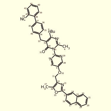 CCCCc1nc(C)n(-c2ncc(OCc3nc(-c4ccc5ccccc5c4)oc3C)cn2)c(=O)c1Cc1ccc(-c2ccccc2C#N)cc1